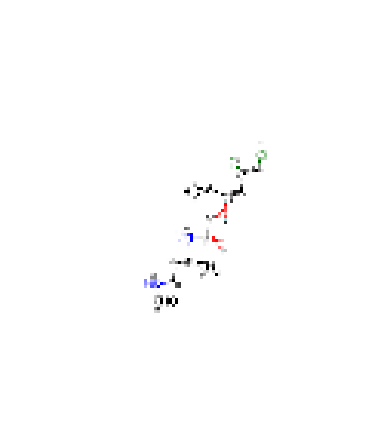 C=C/C(=C\C(F)=C\Cl)OCC(=O)NC(=C)CCNC=O